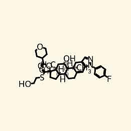 C[C@]12Cc3cnn(-c4ccc(F)cc4)c3C=C1CC[C@@H]1[C@@H]2[C@@H](O)C[C@@]2(C)[C@H]1CC[C@]2(OC(=O)C1CCOCC1)C(=O)SCCO